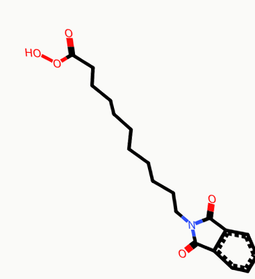 O=C(CCCCCCCCCCN1C(=O)c2ccccc2C1=O)OO